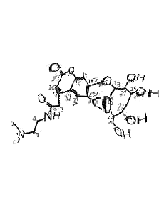 CN(C)CCNC(=O)Cc1cc(=O)oc2cc(O[C@@H]3OC(CO)[C@@H](O)C(O)[C@@H]3O)c(Cl)cc12